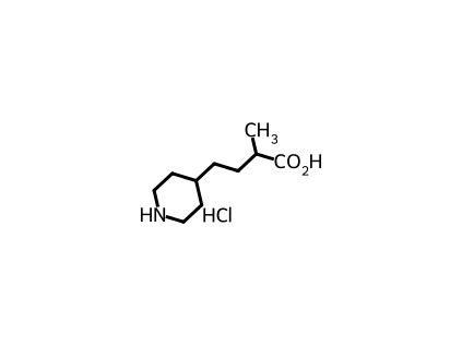 CC(CCC1CCNCC1)C(=O)O.Cl